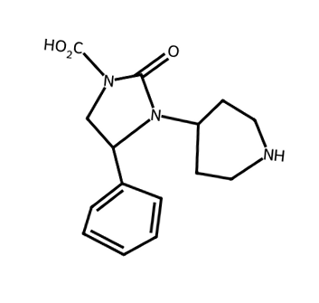 O=C(O)N1CC(c2ccccc2)N(C2CCNCC2)C1=O